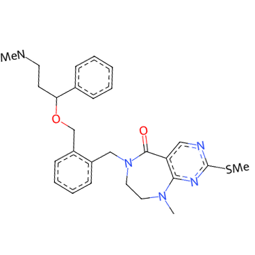 CNCCC(OCc1ccccc1CN1CCN(C)c2nc(SC)ncc2C1=O)c1ccccc1